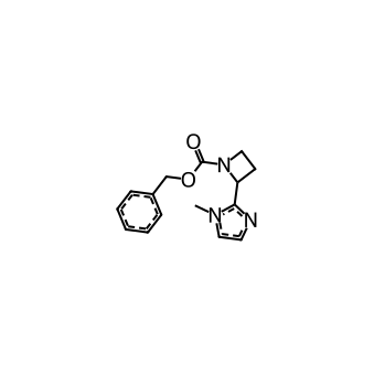 Cn1ccnc1C1CCN1C(=O)OCc1ccccc1